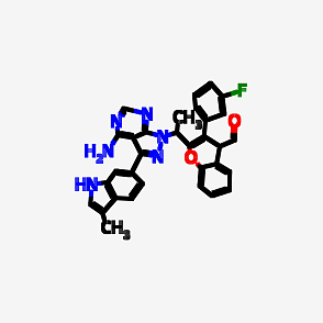 Cc1c[nH]c2cc(-c3nn(C(C)C4=C(c5cccc(F)c5)C(C=O)c5ccccc5O4)c4ncnc(N)c34)ccc12